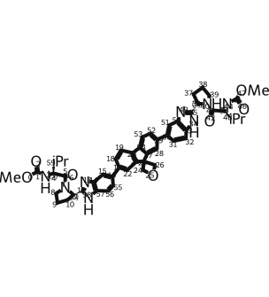 COC(=O)N[C@H](C(=O)N1CCC[C@H]1c1nc2cc(-c3ccc4c(c3)C3(COC3)c3cc(-c5ccc6[nH]c([C@@H]7CCCN7C(=O)[C@@H](NC(=O)OC)C(C)C)nc6c5)ccc3-4)ccc2[nH]1)C(C)C